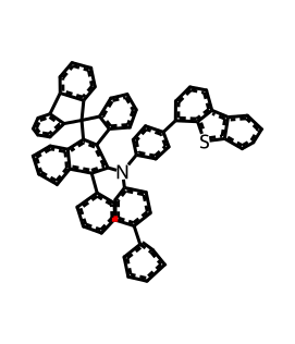 c1ccc(-c2ccc(N(c3ccc(-c4cccc5c4sc4ccccc45)cc3)c3c4c(c5ccccc5c3-c3ccccc3)C3(c5ccccc5-c5ccccc53)c3ccccc3-4)cc2)cc1